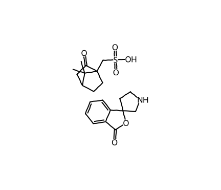 CC1(C)C2CCC1(CS(=O)(=O)O)C(=O)C2.O=C1OC2(CCNC2)c2ccccc21